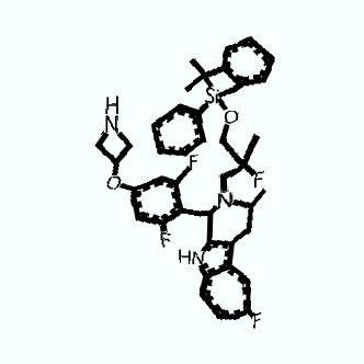 CC1Cc2c([nH]c3ccc(F)cc23)C(c2c(F)cc(OC3CNC3)cc2F)N1CC(C)(F)CO[Si]1(c2ccccc2)c2ccccc2C1(C)C